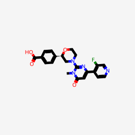 Cn1c(N2CCO[C@@H](c3ccc(C(=O)O)cc3)C2)nc(-c2ccncc2F)cc1=O